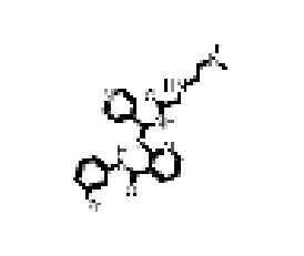 CC(C)c1cccc(NC(=O)c2cccnc2SC(NC(=O)CNCCN(C)C)c2ccncc2)c1